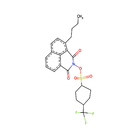 CCCCc1ccc2cccc3c2c1C(=O)N(OS(=O)(=O)C1CCC(C(F)(F)F)CC1)C3=O